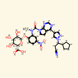 CN(C(=O)n1ccc2c(-c3cnn(C(CC#N)C4CCCC4)c3)ncnc21)c1cc([N+](=O)[O-])ccc1O[C@@H]1O[C@H](C(=O)O)[C@@H](O)[C@H](O)[C@H]1O